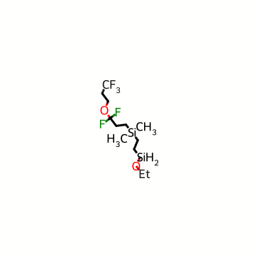 CCO[SiH2]CC[Si](C)(C)CCC(F)(F)OCCC(F)(F)F